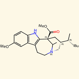 CCC(C)[C@@H](C)[C@@H]1C[N@]2CCc3c([nH]c4ccc(OC)cc34)[C@](C(=O)OC)(C1)C2C